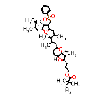 C=C([C@H](C)CC1O[C@H](C[C@H](C)CC)[C@H](C)[C@H]1CS(=O)(=O)c1ccccc1)[C@H](C)C[C@H]1CC[C@@H]2O[C@@H](CCCOC(=O)C(C)(C)C)C[C@]2(CC)O1